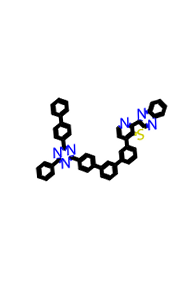 c1ccc(-c2ccc(-c3nc(-c4ccccc4)nc(-c4ccc(-c5cccc(-c6cccc(-c7ccnc8c7sc7nc9ccccc9nc78)c6)c5)cc4)n3)cc2)cc1